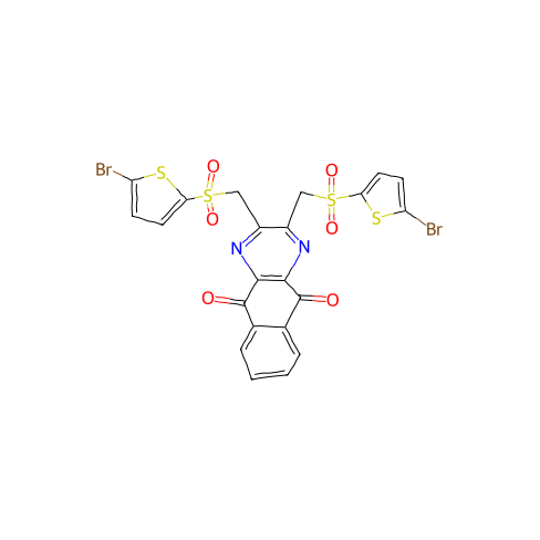 O=C1c2ccccc2C(=O)c2nc(CS(=O)(=O)c3ccc(Br)s3)c(CS(=O)(=O)c3ccc(Br)s3)nc21